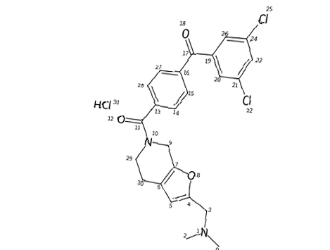 CN(C)Cc1cc2c(o1)CN(C(=O)c1ccc(C(=O)c3cc(Cl)cc(Cl)c3)cc1)CC2.Cl